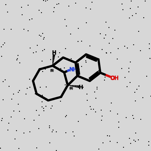 NC1[C@H]2CCCCC[C@@H]1c1cc(O)ccc1C2